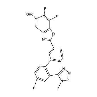 Cn1cnnc1-c1cc(F)ccc1-c1cccc(-c2nc3cc(C=O)c(F)c(F)c3o2)c1